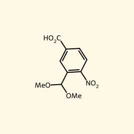 COC(OC)c1cc(C(=O)O)ccc1[N+](=O)[O-]